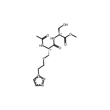 COC(=O)[C@H](CO)NC(=O)[C@H](CSCCn1ccnn1)NC(C)=O